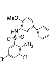 COc1ccc(-c2ccccc2)cc1NS(=O)(=O)c1cc(Cl)cc(Cl)c1N